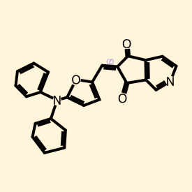 O=C1/C(=C/c2ccc(N(c3ccccc3)c3ccccc3)o2)C(=O)c2cnccc21